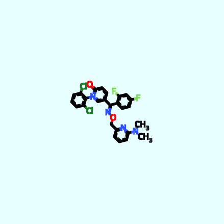 CN(C)c1cccc(CON=C(c2ccc(=O)n(-c3c(Cl)cccc3Cl)c2)c2ccc(F)cc2F)n1